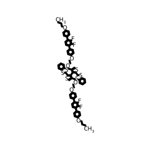 CCCCOc1ccc(-c2ccc(-c3ccc(OCCOCc4csc(C5Sc6ccccc6S5)c4-c4c(COCCOc5ccc(-c6ccc(-c7ccc(OCCCC)cc7)c(F)c6F)cc5)csc4C4Sc5ccccc5S4)cc3)c(F)c2F)cc1